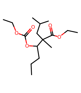 CCCC(OC(=O)OCC)C(C)(CC(C)C)C(=O)OCC